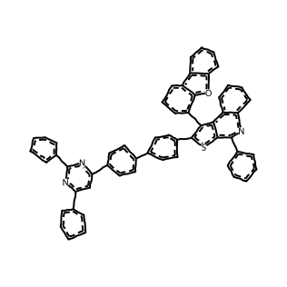 c1ccc(-c2cc(-c3ccc(-c4ccc(-c5sc6c(-c7ccccc7)nc7ccccc7c6c5-c5cccc6c5oc5ccccc56)cc4)cc3)nc(-c3ccccc3)n2)cc1